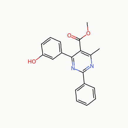 COC(=O)c1c(C)nc(-c2ccccc2)nc1-c1cccc(O)c1